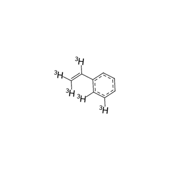 [3H]C([3H])=C([3H])c1cccc([3H])c1[3H]